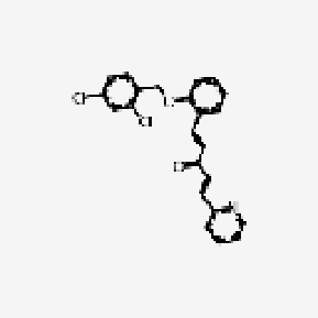 O=C(C=Cc1ccccn1)C=Cc1ccccc1OCc1ccc(Cl)cc1Cl